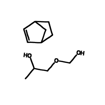 C1=CC2CCC1C2.CC(O)COCO